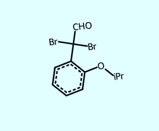 CC(C)Oc1ccccc1C(Br)(Br)C=O